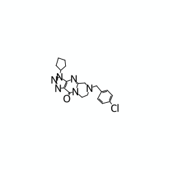 O=c1c2nnn(C3CCCC3)c2nc2n1CCN(Cc1ccc(Cl)cc1)C2